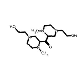 CN1CCN(CCO)CC1C(=O)C1CN(CCO)CCN1C